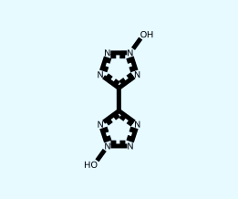 On1nnc(-c2nnn(O)n2)n1